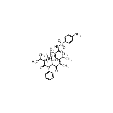 CNC(C(=O)N(c1ccccc1)C(C(=O)N(C)C(C=C(C)C(=O)NS(=O)(=O)c1ccc(N)cc1)C(C)C)C(C)(C)C)C(C)C